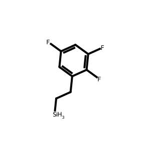 Fc1cc(F)c(F)c(CC[SiH3])c1